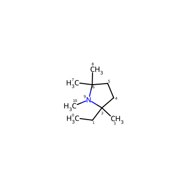 CCC1(C)CCC(C)(C)N1C